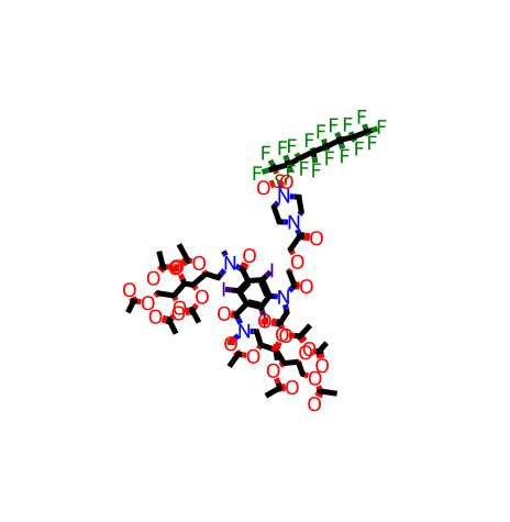 CCOC(=O)CN(C(=O)COCC(=O)N1CCN(S(=O)(=O)C(F)(F)C(F)(F)C(F)(F)C(F)(F)C(F)(F)C(F)(F)C(F)(F)C(F)(F)F)CC1)c1c(I)c(C(=O)N(C)CC(OC(C)=O)C(OC(C)=O)C(OC(C)=O)C(COC(C)=O)OC(C)=O)c(I)c(C(=O)N(C)CC(OC(C)=O)C(OC(C)=O)C(OC(C)=O)C(COC(C)=O)OC(C)=O)c1I